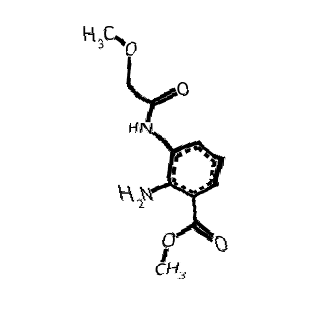 COCC(=O)Nc1cccc(C(=O)OC)c1N